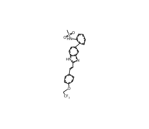 CS(=O)(=O)Nc1ccccc1-c1ccc2[nH]c(C=Cc3ccc(OCC(F)(F)F)cc3)nc2c1